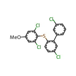 COc1cc(Cl)c(Sc2ccc(Cl)cc2-c2cccc(Cl)c2)c(Cl)c1